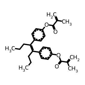 C=C(C)C(=O)Oc1ccc(C(CCC)=C(CCC)c2ccc(OC(=O)C(=C)C)cc2)cc1